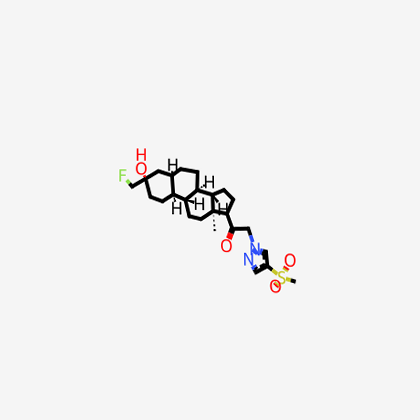 C[C@]12CC[C@H]3[C@@H](CC[C@@H]4C[C@@](O)(CF)CC[C@@H]43)[C@@H]1CCC2C(=O)Cn1cc(S(C)(=O)=O)cn1